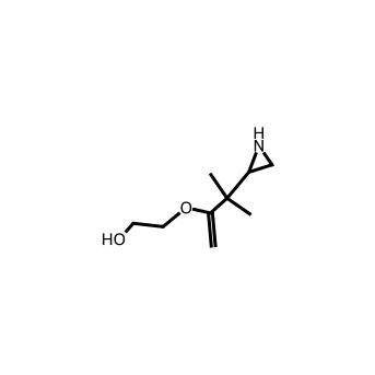 C=C(OCCO)C(C)(C)C1CN1